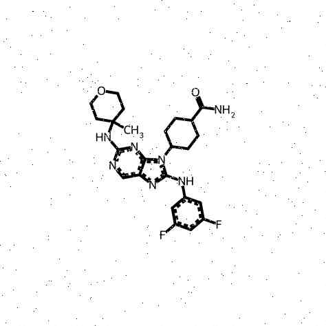 CC1(Nc2ncc3nc(Nc4cc(F)cc(F)c4)n(C4CCC(C(N)=O)CC4)c3n2)CCOCC1